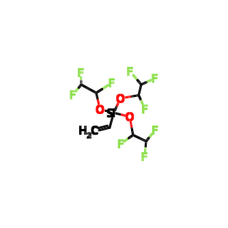 C=C[Si](OC(F)C(F)F)(OC(F)C(F)F)OC(F)C(F)F